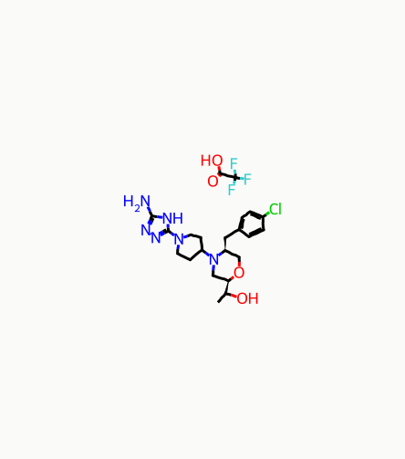 CC(O)[C@H]1CN(C2CCN(c3nnc(N)[nH]3)CC2)[C@@H](Cc2ccc(Cl)cc2)CO1.O=C(O)C(F)(F)F